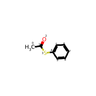 CC(=O)Sc1cc[c]cc1